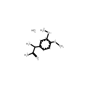 COc1ccc(C(C)C(N)=O)cc1OC.Cl